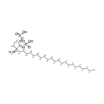 CCCCCCCCCCCCCCCCCCCCCCC(N)(CC)C(CCC(=O)O)OP(=O)(O)O